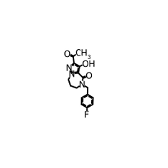 CC(=O)c1nn2c(c1O)C(=O)N(Cc1ccc(F)cc1)CCC2